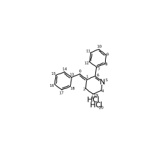 C(=C1CCCN=C1c1ccccc1)c1ccccc1.Cl.Cl